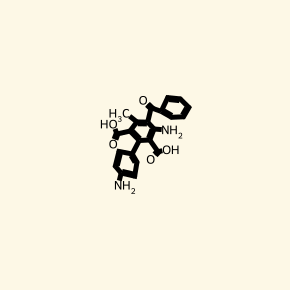 Cc1c(C(=O)c2ccccc2)c(N)c(C(=O)O)c(-c2ccc(N)cc2)c1C(=O)O